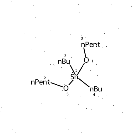 CCCCC[O][Sn]([CH2]CCC)([CH2]CCC)[O]CCCCC